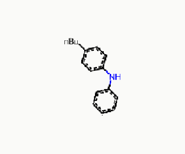 CCCCc1ccc(Nc2cc[c]cc2)cc1